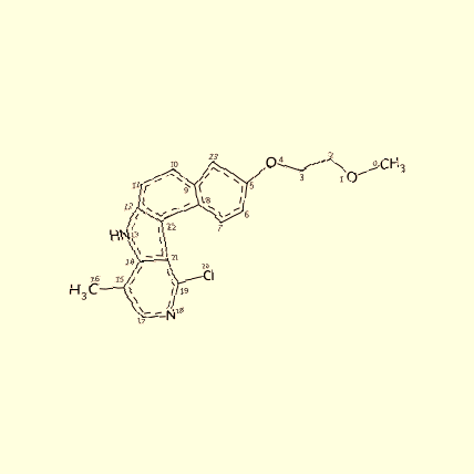 COCCOc1ccc2c(ccc3[nH]c4c(C)cnc(Cl)c4c32)c1